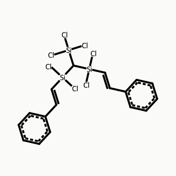 Cl[Si](Cl)(Cl)C([Si](Cl)(Cl)C=Cc1ccccc1)[Si](Cl)(Cl)C=Cc1ccccc1